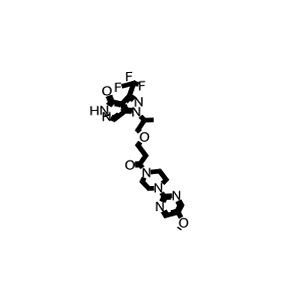 COc1cnc(N2CCN(C(=O)CCOCC(C)n3nc(C(F)(F)F)c4c(=O)[nH]ncc43)CC2)nc1